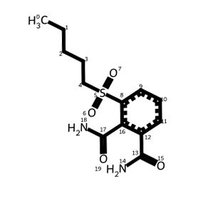 CCCCCS(=O)(=O)c1cccc(C(N)=O)c1C(N)=O